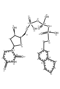 O=c1ccn([C@H]2C[C@@H](O)[C@@H](COP(=O)(O)OP(=O)(O)OP(=O)(O)OCc3ccc4ccccc4c3)O2)c(=O)[nH]1